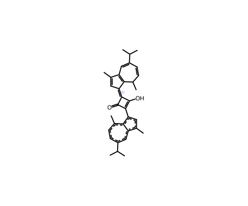 CC1=C/C(=C2\C(=O)C(c3cc(C)c4cc(C(C)C)ccc(C)c3-4)=C2O)C2=C1C=C(C(C)C)C=CC2C